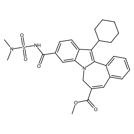 COC(=O)C1=Cc2ccccc2-c2c(C3CCCCC3)c3ccc(C(=O)NS(=O)(=O)N(C)C)cc3n2C1